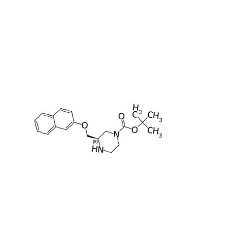 CC(C)(C)OC(=O)N1CCN[C@@H](COc2ccc3ccccc3c2)C1